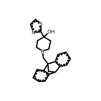 OC1(c2nccs2)CCN(CC23CC(c4ccccc42)c2ccccc23)CC1